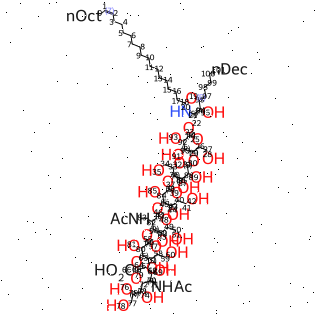 CCCCCCCC/C=C\CCCCCCCCCCCCCCCC(=O)N[C@@H](CO[C@@H]1OC(CO)[C@@H](O[C@@H]2OC(CO)[C@H](O[C@@H]3OC(CO)[C@H](O)[C@H](O[C@@H]4OC(CO)[C@H](O)[C@H](O[C@@H]5OC(CO)[C@H](O)[C@H](O[C@]6(C(=O)O)CC(O)[C@@H](NC(C)=O)C([C@H](O)[C@H](O)CO)O6)C5O)C4NC(C)=O)C3O)[C@H](O)C2O)[C@H](O)C1O)[C@H](O)/C=C/CCCCCCCCCCCCC